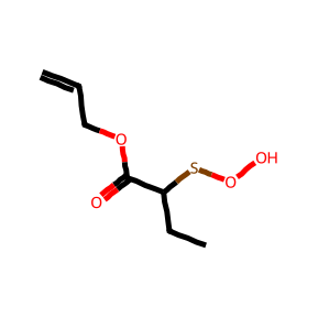 C=CCOC(=O)C(CC)SOO